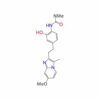 CNC(=O)Nc1ccc(CCc2nc3cc(OC)ccn3c2C)cc1O